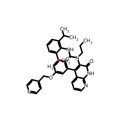 CCCN(C(=O)Nc1c(C(C)C)cccc1C(C)C)c1c(-c2cccc(OCc3ccncc3)c2)c2cccnc2[nH]c1=O